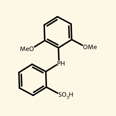 COc1cccc(OC)c1Pc1ccccc1S(=O)(=O)O